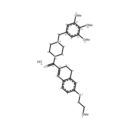 COCCOc1ccc2c(c1)CCC(C(=O)N1CCN(Cc3cc(OC)c(OC)c(OC)c3)CC1)=C2.Cl